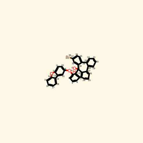 OC1(c2ccccc2Oc2ccc3oc4ccccc4c3c2)c2ccccc2-c2ccccc2-c2ccc(Br)cc21